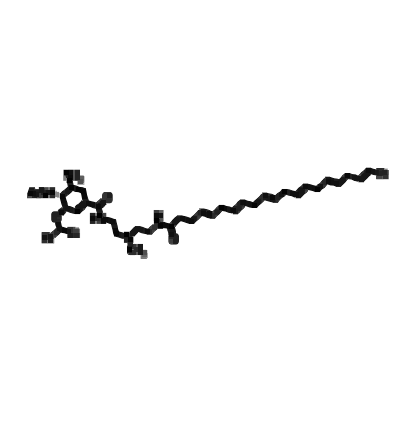 CCC=CCC=CCC=CCC=CCC=CCC=CCCC(=O)NCCN(C)CCNC(=O)C1=C[C@@H](OC(CC)CC)[C@H](NC(C)=O)[C@@H](N)C1